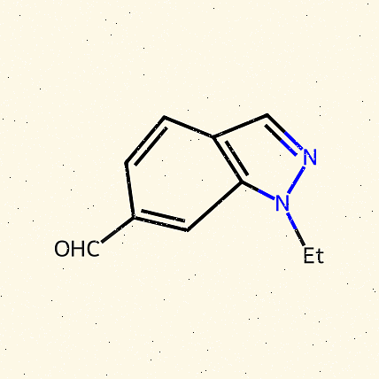 CCn1ncc2ccc(C=O)cc21